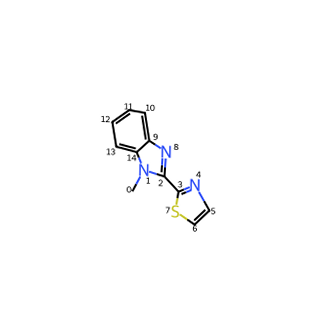 Cn1c(-c2nccs2)nc2ccccc21